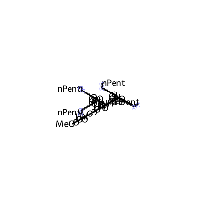 CCCCC/C=C\C/C=C\CCCCCCCC(=O)OCCN(CCOC(=O)CCCCCCC/C=C\C/C=C\CCCCC)C(=O)CCC(=O)NCCCC[C@H](NC(=O)CCC(=O)N(CCOC(=O)CCCCCCC/C=C\C/C=C\CCCCC)CCOC(=O)CCCCCCC/C=C\C/C=C\CCCCC)C(=O)NCCCOCCOCCOCCCNC(=O)CCOCCOCCOC